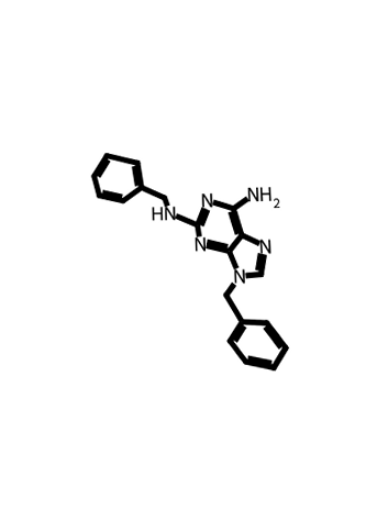 Nc1nc(NCc2ccccc2)nc2c1ncn2Cc1ccccc1